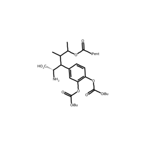 CCCC(C)C(=O)OC(C)C(C)C(c1ccc(OC(=O)OCC(C)C)c(OC(=O)OCC(C)C)c1)[C@H](N)C(=O)O